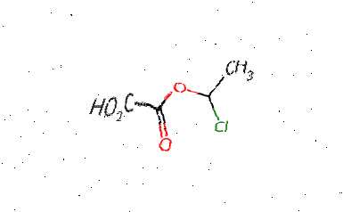 CC(Cl)OC(=O)C(=O)O